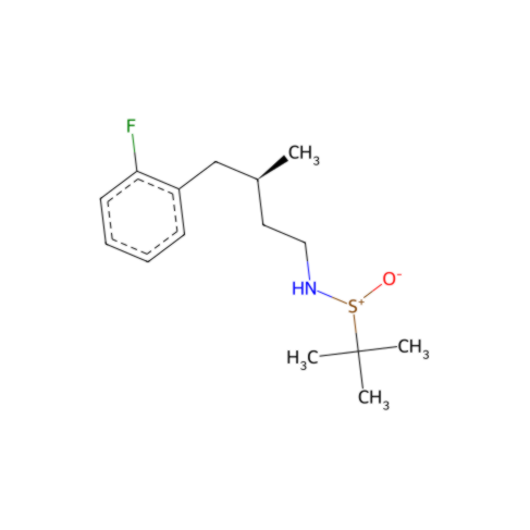 C[C@@H](CCN[S+]([O-])C(C)(C)C)Cc1ccccc1F